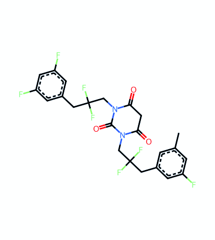 Cc1cc(F)cc(CC(F)(F)CN2C(=O)CC(=O)N(CC(F)(F)Cc3cc(F)cc(F)c3)C2=O)c1